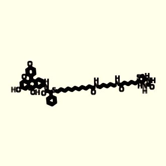 O=C(CCCCCCCCCCSC(C(=O)Nc1ccc(-c2c3ccc(=O)cc-3oc3cc(O)ccc23)c(C(=O)O)c1)c1ccccc1)NCCCCCNC(=O)CCCCC1SC[C@@H]2NC(=O)N[C@H]12